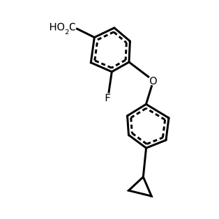 O=C(O)c1ccc(Oc2ccc(C3CC3)cc2)c(F)c1